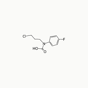 O=C(O)N(CCCCl)c1ccc(F)cc1